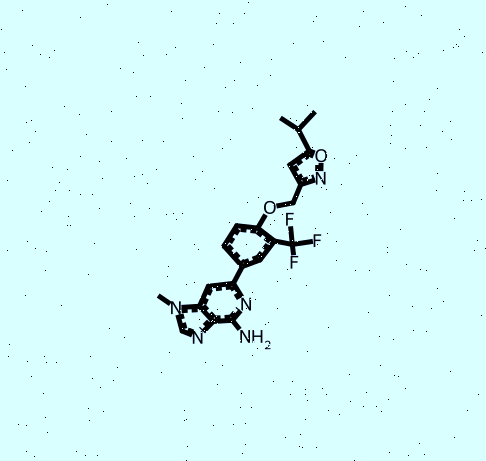 CC(C)c1cc(COc2ccc(-c3cc4c(ncn4C)c(N)n3)cc2C(F)(F)F)no1